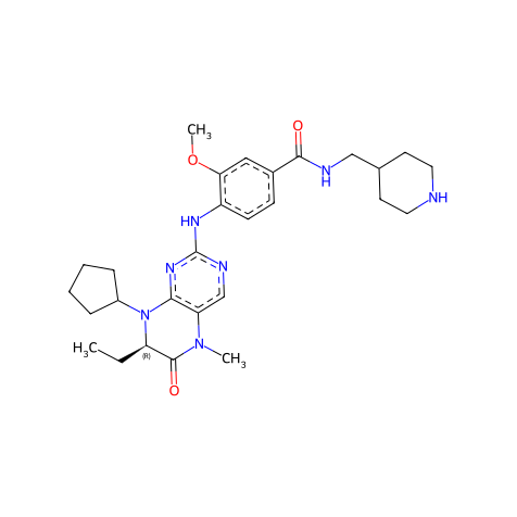 CC[C@@H]1C(=O)N(C)c2cnc(Nc3ccc(C(=O)NCC4CCNCC4)cc3OC)nc2N1C1CCCC1